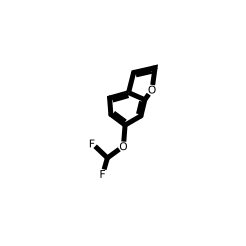 FC(F)Oc1ccc2ccoc2c1